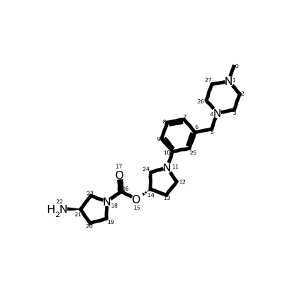 CN1CCN(Cc2cccc(N3CC[C@H](OC(=O)N4CC[C@@H](N)C4)C3)c2)CC1